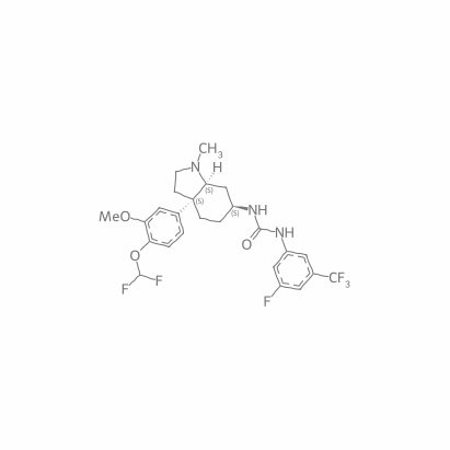 COc1cc([C@@]23CC[C@H](NC(=O)Nc4cc(F)cc(C(F)(F)F)c4)C[C@@H]2N(C)CC3)ccc1OC(F)F